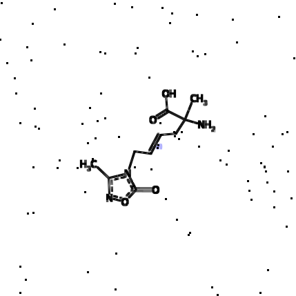 Cc1noc(=O)n1C/C=C/CC(C)(N)C(=O)O